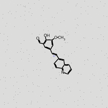 COc1cc(/C=C/c2ccc3ncccc3c2)cc(C=O)c1O